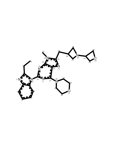 CCc1nc2ccccc2n1-c1nc(N2CCOCC2)c2nc(CC3CN(C4COC4)C3)n(C)c2n1